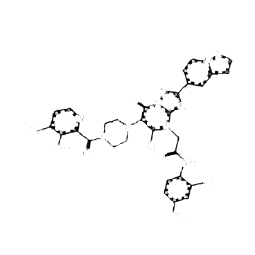 CCc1c(N2CCN(C(=O)c3nccc(Cl)c3O)CC2)c(=O)n2nc(-c3ccn4nccc4c3)nc2n1CC(=O)Nc1ccc(C(F)(F)F)cc1Cl